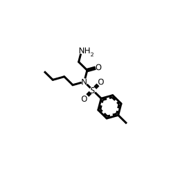 CCCCN(C(=O)CN)S(=O)(=O)c1ccc(C)cc1